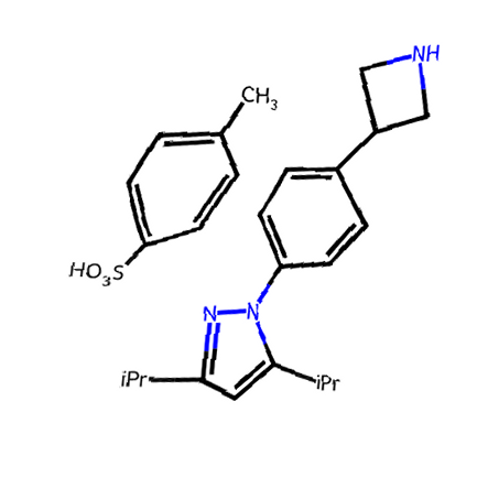 CC(C)c1cc(C(C)C)n(-c2ccc(C3CNC3)cc2)n1.Cc1ccc(S(=O)(=O)O)cc1